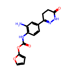 Nc1cc(C2=NNC(=O)CC2)ccc1NC(=O)Oc1ccco1